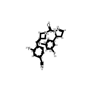 N#Cc1ccc(C=C2CN(C(=O)N3N=CCC3c3cc(F)cc(F)c3)C2)c(F)c1